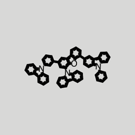 c1ccc(-n2c3ccccc3c3cc(-c4cccc5c4oc4c(-n6c7ccccc7c7ccccc76)cc(-c6cccc(-n7c8ccccc8c8ccccc87)c6)cc45)ccc32)cc1